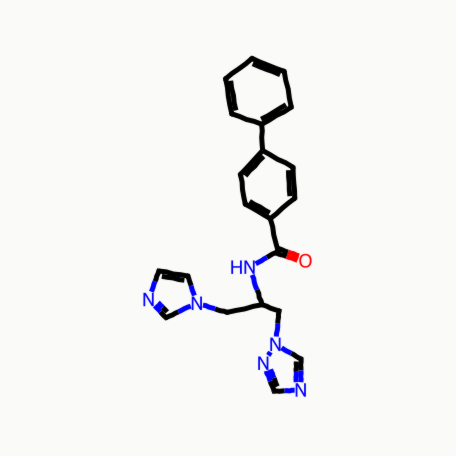 O=C(NC(Cn1ccnc1)Cn1cncn1)c1ccc(-c2ccccc2)cc1